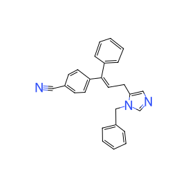 N#Cc1ccc(/C(=C/Cc2cncn2Cc2ccccc2)c2ccccc2)cc1